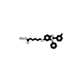 COC(=O)CCCCCOc1ccc2nc(-c3cccc(C)c3)n(-c3ccccc3)c2c1